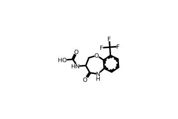 O=C(O)NC1COc2c(cccc2C(F)(F)F)NC1=O